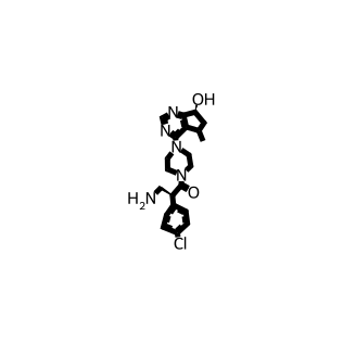 CC1C[C@@H](O)c2ncnc(N3CCN(C(=O)[C@H](CN)c4ccc(Cl)cc4)CC3)c21